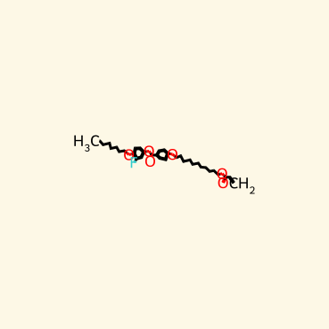 C=CC(=O)OCCCCCCCCCCCOc1ccc(C(=O)Oc2ccc(OCCCCCCCC)c(F)c2)cc1